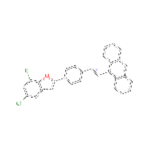 Clc1cc(Cl)c2oc(-c3ccc(/C=C/c4c5ccccc5cc5ccccc45)cc3)cc2c1